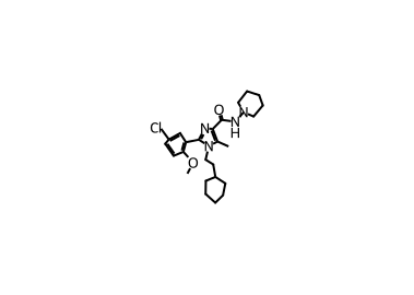 COc1ccc(Cl)cc1-c1nc(C(=O)NN2CCCCC2)c(C)n1CCC1CCCCC1